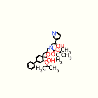 CC(C)OC1C=C(c2ccccc2)C=CC1(CCCN(C[C@H](O)c1cccnc1)C(=O)OC(C)(C)C)C(=O)O